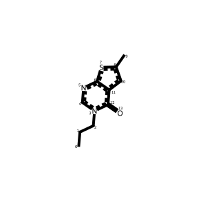 CCCn1cnc2sc(C)cc2c1=O